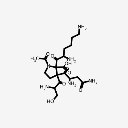 CC(=O)N1CCC(C(=O)C(N)CO)(C(=O)C(N)CC(N)=O)C1(C(=O)O)C(=O)C(N)CCCCN